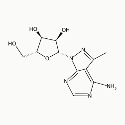 Cc1nn([C@@H]2O[C@H](CO)[C@@H](O)[C@H]2O)c2ncnc(N)c12